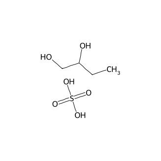 CCC(O)CO.O=S(=O)(O)O